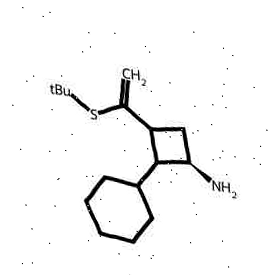 C=C(SC(C)(C)C)C1C[C@@H](N)C1C1CCCCC1